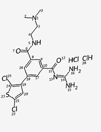 CN(C)CCNC(=O)c1cc(C(=O)N=C(N)N)cc(-c2cc(Cl)sc2Cl)c1.Cl.Cl